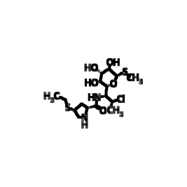 CCS[C@@H]1CN[C@H](C(=O)N[C@@H]([C@H]2O[C@H](SC)C(O)[C@@H](O)[C@H]2O)[C@H](C)Cl)C1